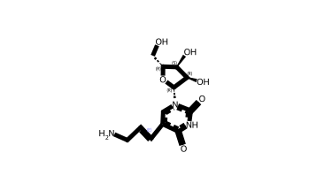 NC/C=C/c1cn([C@@H]2O[C@H](CO)[C@@H](O)[C@H]2O)c(=O)[nH]c1=O